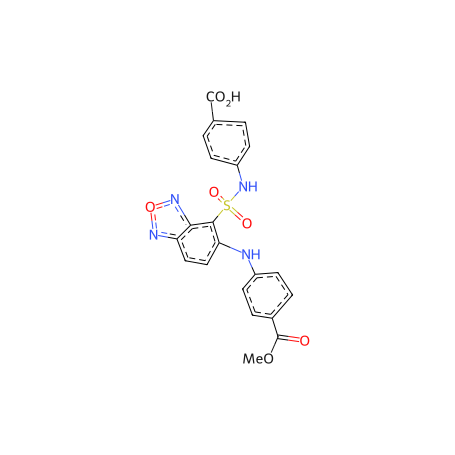 COC(=O)c1ccc(Nc2ccc3nonc3c2S(=O)(=O)Nc2ccc(C(=O)O)cc2)cc1